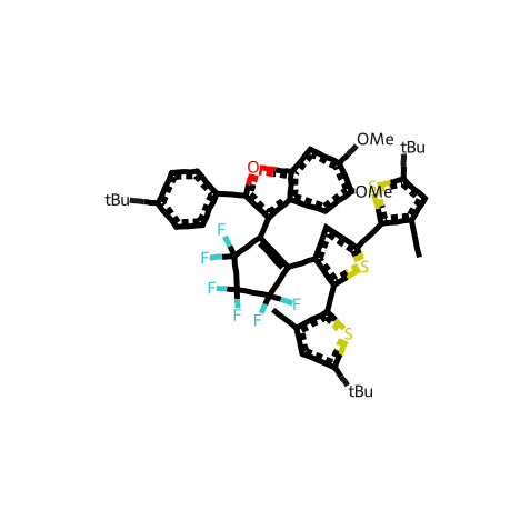 COc1cc2oc(-c3ccc(C(C)(C)C)cc3)c(C3=C(c4cc(-c5sc(C(C)(C)C)cc5C)sc4-c4sc(C(C)(C)C)cc4C)C(F)(F)C(F)(F)C3(F)F)c2cc1OC